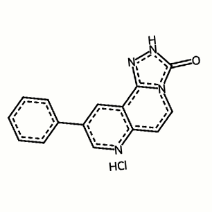 Cl.O=c1[nH]nc2c3cc(-c4ccccc4)cnc3ccn12